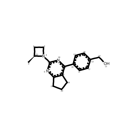 C[C@H]1CCN1c1nc2c(c(-c3ccc(CO)cc3)n1)CCC2